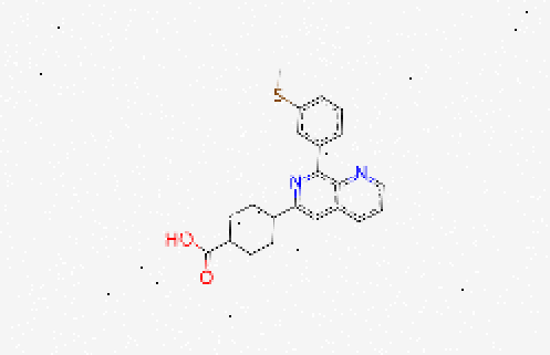 CSc1cccc(-c2nc(C3CCC(C(=O)O)CC3)cc3cccnc23)c1